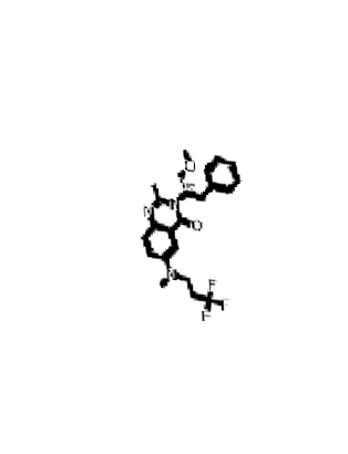 COC[C@H](Cc1ccccc1)n1c(C)nc2ccc(N(C)CCC(F)(F)F)cc2c1=O